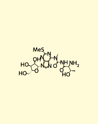 CSc1nc(N(C)C(=O)NC(=O)[C@@H](N)[C@@H](C)O)c2ncn([C@@H]3O[C@H](CO)[C@@H](O)[C@H]3O)c2n1